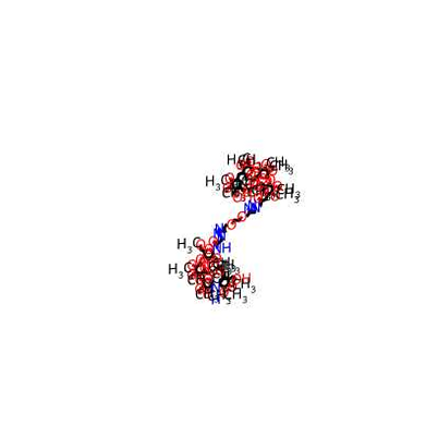 COCC1=CC(CC2C(C)OC(OC3C(COC)OC(OC4C(COC)OC(CC(=O)Cn5cc(COCCOCc6cn(CC(=O)NC7OC(COC)C(OC8OC(COC)C(OC9OC(C)C(NC%10C=C(COC)C(CO)C(OC)C%10OC)C(OC)C9OC)C(OC)C8OC)C(OC)C7OC)nn6)nn5)C(OC)C4OC)C(OC)C3OC)C(OC)C2OC)C(OC)C(OC)C1CO